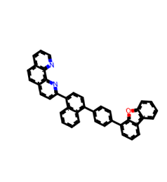 c1cnc2c(c1)ccc1ccc(-c3ccc(-c4ccc(-c5cccc6c5oc5ccccc56)cc4)c4ccccc34)nc12